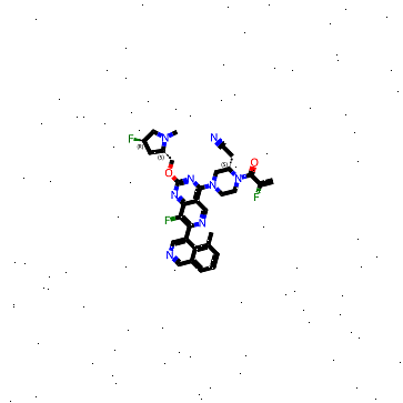 C=C(F)C(=O)N1CCN(c2nc(OC[C@@H]3C[C@@H](F)CN3C)nc3c(F)c(-c4cncc5cccc(C)c45)ncc23)C[C@@H]1CC#N